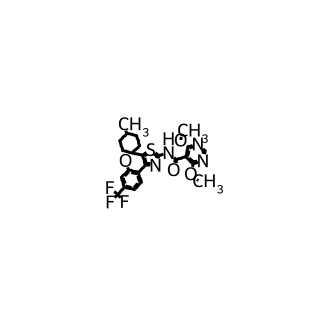 COc1ncnc(OC)c1C(=O)Nc1nc2c(s1)C1(CCC(C)CC1)Oc1cc(C(F)(F)F)ccc1-2